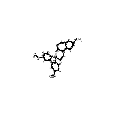 Cc1ccc2c3c(ccc2c1)OC(c1ccc(C=O)cc1)(c1ccc(C=O)cc1)C=C3